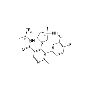 Cc1ncc(C(=O)N[C@@H](C)C(F)(F)F)c(N2CC[C@](C)(N)C2)c1-c1ccc(F)c(Cl)c1